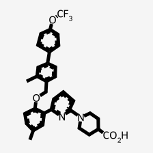 Cc1ccc(OCc2ccc(-c3ccc(OC(F)(F)F)cc3)cc2C)c(-c2cccc(N3CCC(C(=O)O)CC3)n2)c1